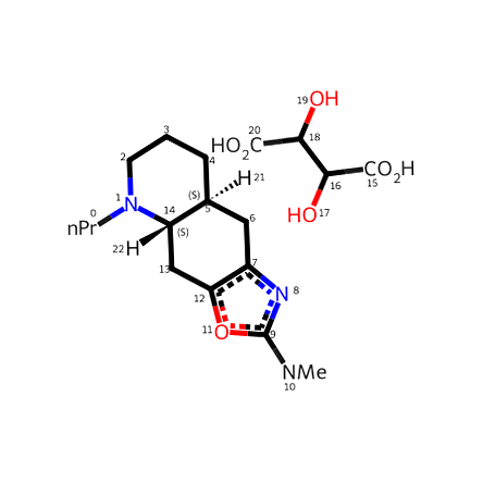 CCCN1CCC[C@H]2Cc3nc(NC)oc3C[C@@H]21.O=C(O)C(O)C(O)C(=O)O